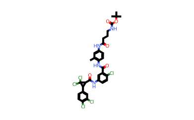 Cc1cc(NC(=O)CCCNC(=O)OC(C)(C)C)ccc1NC(=O)c1cc(NC(=O)C2C(c3ccc(Cl)c(Cl)c3)C2(Cl)Cl)ccc1Cl